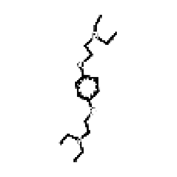 CCN(CC)CCOc1ccc(OCCN(CC)CC)cc1